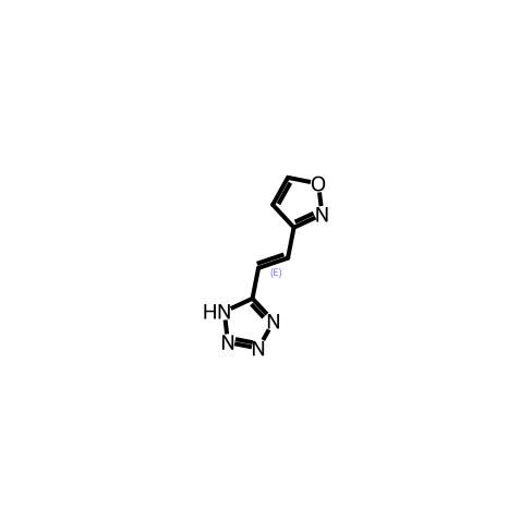 C(=C\c1nnn[nH]1)/c1ccon1